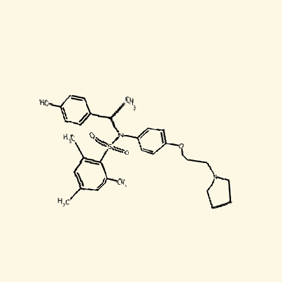 Cc1cc(C)c(S(=O)(=O)N(c2ccc(OCCN3CCCC3)cc2)C(C)c2ccc(O)cc2)c(C)c1